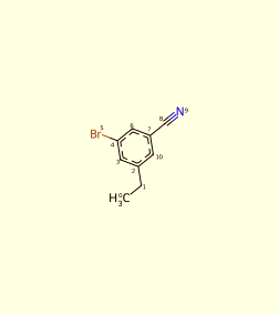 CCc1cc(Br)cc(C#N)c1